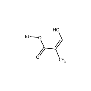 CCOC(=O)/C(=C\O)C(F)(F)F